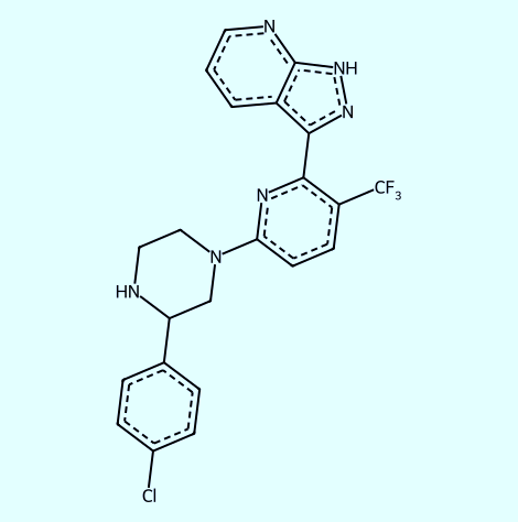 FC(F)(F)c1ccc(N2CCNC(c3ccc(Cl)cc3)C2)nc1-c1n[nH]c2ncccc12